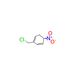 O=[N+]([O-])[C@H]1C=CC(CCl)=CC1